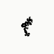 C[Si](C)(C)C#CCNc1cccc2c1OC(S(=O)(=O)C(F)F)C2